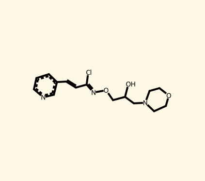 OC(CON=C(Cl)C=Cc1cccnc1)CN1CCOCC1